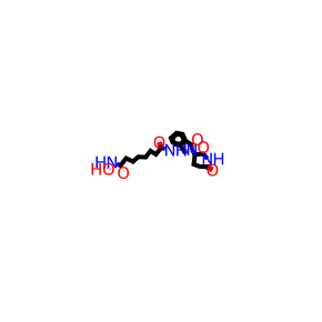 O=C(CCCCCCC(=O)Nc1cccc2c1CN(C1CCC(=O)NC1=O)C2=O)NO